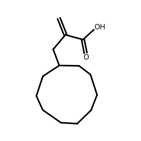 C=C(CC1CCCCCCCCC1)C(=O)O